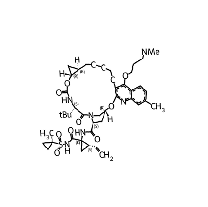 C=C[C@@H]1C[C@]1(NC(=O)[C@@H]1C[C@@H]2CN1C(=O)[C@H](C(C)(C)C)NC(=O)O[C@@H]1C[C@H]1CCCCCc1c(nc3cc(C)ccc3c1OCCCNC)O2)C(=O)NS(=O)(=O)C1(C)CC1